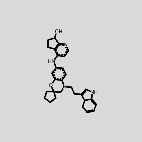 OC1CCc2c(Nc3ccc4c(c3)OC3(CCCC3)CN4CCC3=CNC4=CC=CCC34)ccnc21